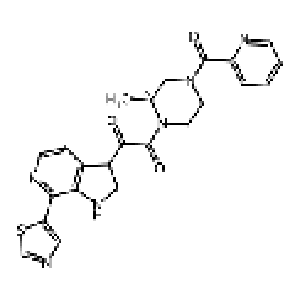 C[C@H]1CN(C(=O)c2ccccn2)CCN1C(=O)C(=O)C1CNc2c1ccnc2-c1cncs1